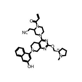 C=CC(=O)N1CCN(c2nc(OC[C@H]3CCCN3C)nc3c2CCN(c2cc(O)cc4ccccc24)C3)CC1CC#N